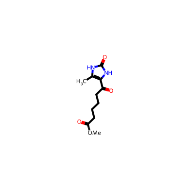 COC(=O)CCCCC(=O)c1[nH]c(=O)[nH]c1C